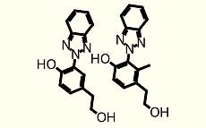 Cc1c(CCO)ccc(O)c1-n1nc2ccccc2n1.OCCc1ccc(O)c(-n2nc3ccccc3n2)c1